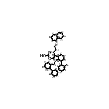 Cc1ccccc1-c1cccc2c(CCCOc3cccc4ccccc34)c(OC(=O)O)n(Cc3ccccc3-c3ccccc3)c12